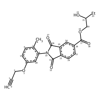 C#CCOc1ccc(C)c(N2C(=O)c3ccc(C(=O)OCC(O)CC)cc3C2=O)c1